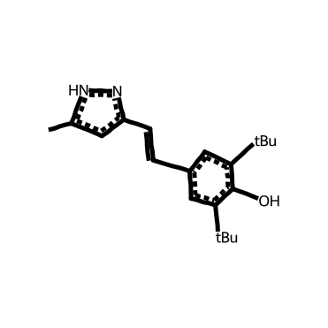 Cc1cc(/C=C/c2cc(C(C)(C)C)c(O)c(C(C)(C)C)c2)n[nH]1